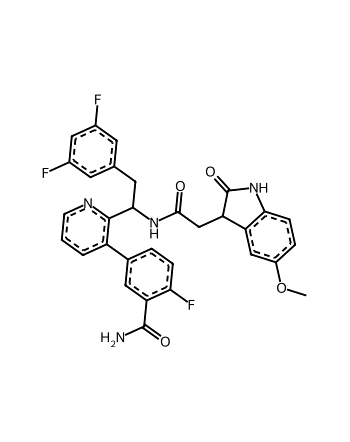 COc1ccc2c(c1)C(CC(=O)NC(Cc1cc(F)cc(F)c1)c1ncccc1-c1ccc(F)c(C(N)=O)c1)C(=O)N2